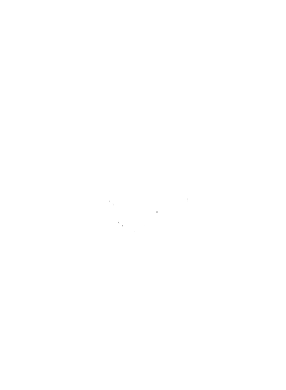 CC(C)(C)OC=O.NN